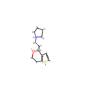 c1cc2c(s1)CCO[C@H]2CCN1CCCC1